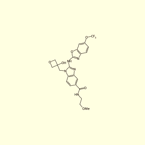 COCCNC(=O)c1ccc2c(c1)nc(Nc1nc3ccc(OC(F)(F)F)cc3o1)n2CC1(O)COC1